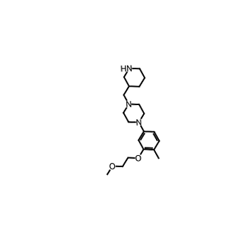 COCCOc1cc(N2CCN(CC3CCCNC3)CC2)ccc1C